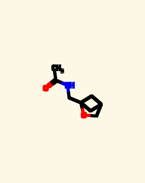 CC(=O)NCC12CC(CO1)C2